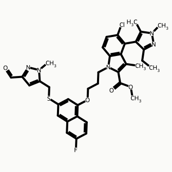 CCc1nn(C)c(C)c1-c1c(Cl)ccc2c1c(C)c(C(=O)OC)n2CCCOc1cc(SCc2cc(C=O)nn2C)cc2cc(F)ccc12